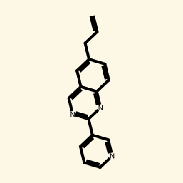 C=CCc1ccc2nc(-c3cccnc3)ncc2c1